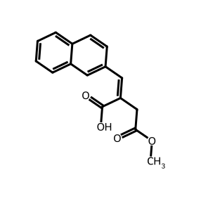 COC(=O)CC(=Cc1ccc2ccccc2c1)C(=O)O